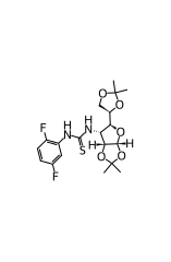 CC1(C)O[C@H]2O[C@H]([C@H]3COC(C)(C)O3)[C@@H](NC(=S)Nc3cc(F)ccc3F)[C@H]2O1